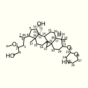 COC(CO)C[C@@H](C)C1C[C@H](O)[C@@]2(C)C3CC[C@H]4C(C)(C)C(OC5CNCCO5)CCC45CC35CCC12C